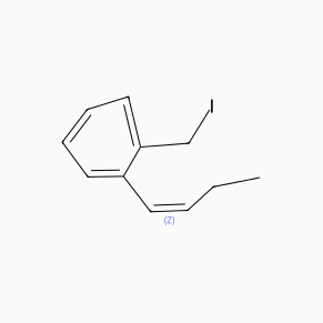 CC/C=C\c1ccccc1CI